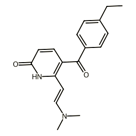 CCc1ccc(C(=O)c2ccc(=O)[nH]c2C=CN(C)C)cc1